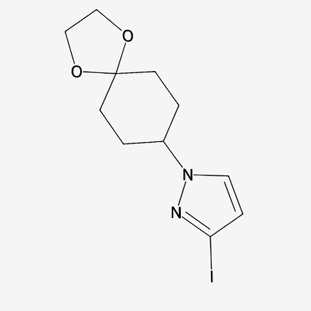 Ic1ccn(C2CCC3(CC2)OCCO3)n1